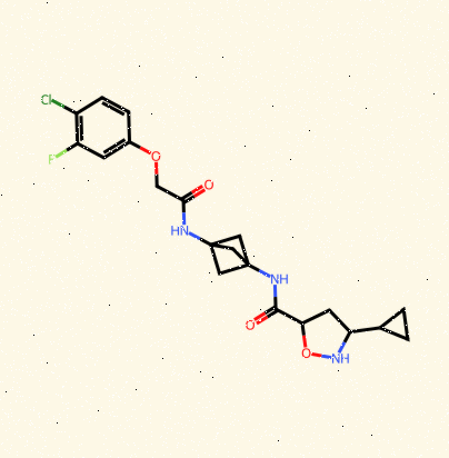 O=C(COc1ccc(Cl)c(F)c1)NC12CC(NC(=O)C3CC(C4CC4)NO3)(C1)C2